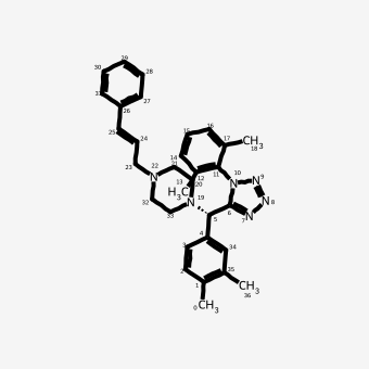 Cc1ccc([C@@H](c2nnnn2-c2c(C)cccc2C)N2CCN(C/C=C/c3ccccc3)CC2)cc1C